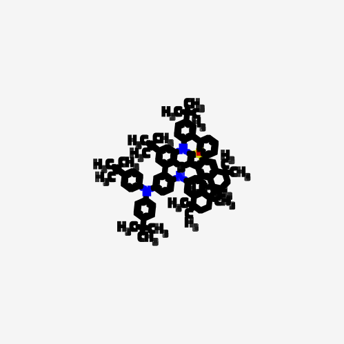 CC(C)(C)c1ccc(N(c2ccc(C(C)(C)C)cc2)c2ccc3c(c2)-c2cc(C(C)(C)C)cc4c2B(c2c(sc5cc6c(cc25)C(C)(C)CCC6(C)C)N4c2ccc(C(C)(C)C)cc2-c2ccccc2)N3c2ccc3c(c2)C(C)(C)CCC3(C)C)cc1